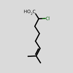 CC(C)=CCCCC(Cl)C(=O)O